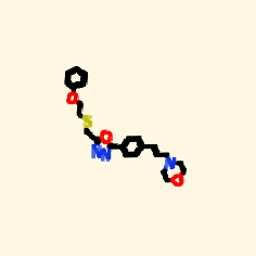 C(=Cc1ccc(-c2nnc(CSCCOc3ccccc3)o2)cc1)CN1CCOCC1